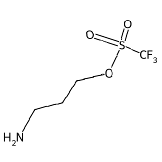 NCCCOS(=O)(=O)C(F)(F)F